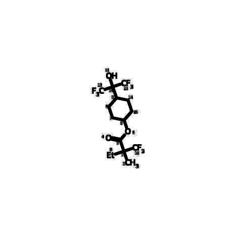 CCC(C)(C(=O)OC1CCC(C(O)(C(F)(F)F)C(F)(F)F)CC1)C(F)(F)F